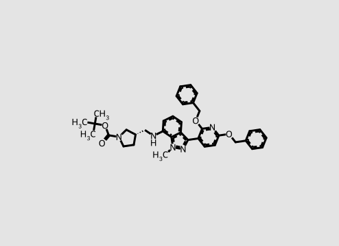 Cn1nc(-c2ccc(OCc3ccccc3)nc2OCc2ccccc2)c2cccc(NC[C@@H]3CCN(C(=O)OC(C)(C)C)C3)c21